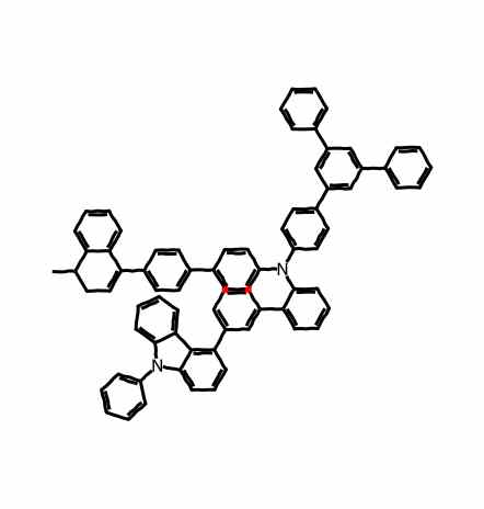 CC1CC=C(c2ccc(-c3ccc(N(c4ccc(-c5cc(-c6ccccc6)cc(-c6ccccc6)c5)cc4)c4ccccc4-c4cccc(-c5cccc6c5c5ccccc5n6-c5ccccc5)c4)cc3)cc2)c2ccccc21